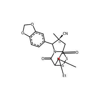 CCC1C2SSC3(C[C@](C)(C#N)C(c4ccc5c(c4)OCO5)N3C2=O)C(=O)N1C